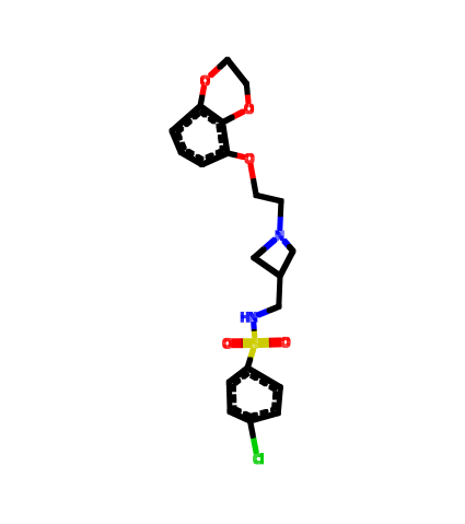 O=S(=O)(NCC1CN(CCOc2cccc3c2OCCO3)C1)c1ccc(Cl)cc1